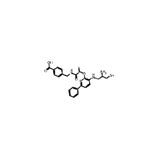 CC(Oc1nc(-c2ccccc2)ccc1NCC(N)CS)C(=O)NCc1ccc(C(=O)O)cc1